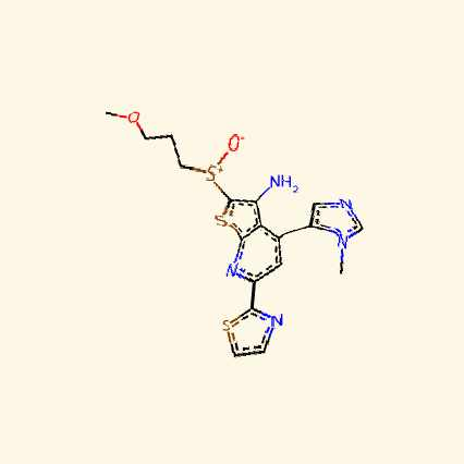 COCCC[S+]([O-])c1sc2nc(-c3nccs3)cc(-c3cncn3C)c2c1N